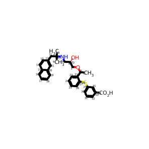 CC(OC[C@@H](O)CNC(C)(C)Cc1ccc2ccccc2c1)c1ccccc1Sc1cccc(C(=O)O)c1